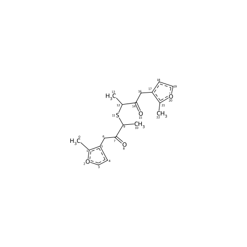 Cc1occc1CC(=O)C(C)SC(C)C(=O)Cc1ccoc1C